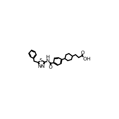 O=C(O)CCC1CCC(c2ccc(C(=O)Nc3nnc(Cc4ccccc4)s3)cc2)CC1